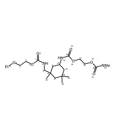 CCOCCOC(=O)NCC1(C)CC(NC(=O)OCCOC(=O)NC)CC(C)(C)C1